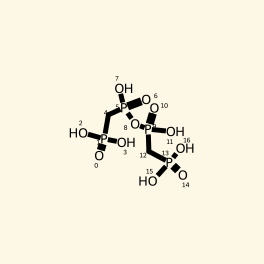 O=P(O)(O)CP(=O)(O)OP(=O)(O)CP(=O)(O)O